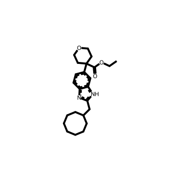 CCOC(=O)C1(c2ccc3nc(CC4CCCCCCC4)[nH]c3c2)CCOCC1